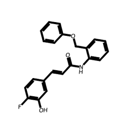 O=C(C=Cc1ccc(F)c(O)c1)Nc1ccccc1COc1ccccc1